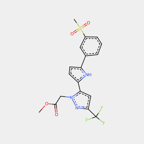 COC(=O)Cn1nc(C(F)(F)F)cc1-c1ccc(-c2cccc(S(C)(=O)=O)c2)[nH]1